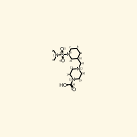 CN(C)S(=O)(=O)N1CCCC(CN2CCN(C(=O)O)CC2)C1